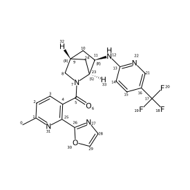 Cc1ccc(C(=O)N2C[C@@H]3C[C@@H](Nc4ccc(C(F)(F)F)cn4)[C@@H]2C3)c(-c2ncco2)n1